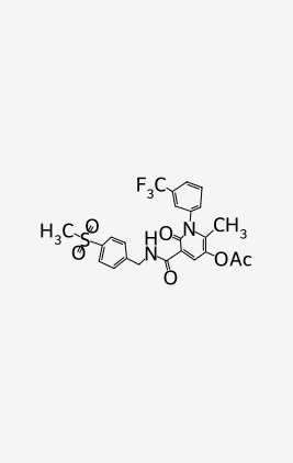 CC(=O)Oc1cc(C(=O)NCc2ccc(S(C)(=O)=O)cc2)c(=O)n(-c2cccc(C(F)(F)F)c2)c1C